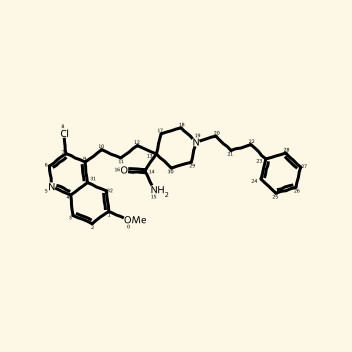 COc1ccc2ncc(Cl)c(CCCC3(C(N)=O)CCN(CCCc4ccccc4)CC3)c2c1